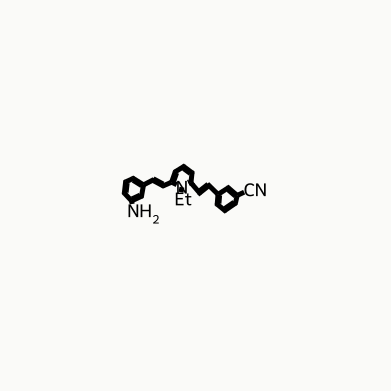 CC[n+]1c(/C=C/c2cccc(N)c2)cccc1/C=C/c1cccc(C#N)c1